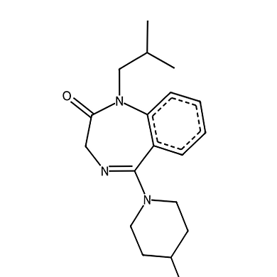 CC(C)CN1C(=O)CN=C(N2CCC(C)CC2)c2ccccc21